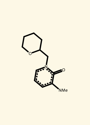 CNc1cccn(CC2CCCCO2)c1=O